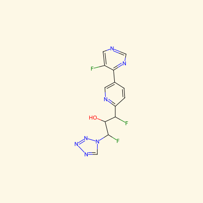 OC(C(F)c1ccc(-c2ncncc2F)cn1)C(F)n1cnnn1